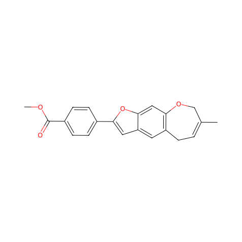 COC(=O)c1ccc(-c2cc3cc4c(cc3o2)OCC(C)=CC4)cc1